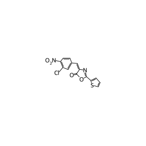 O=C1OC(c2cccs2)=NC1=Cc1ccc([N+](=O)[O-])c(Cl)c1